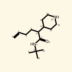 C=CCCC(C(=O)NC(C)(C)C)C1CCNCC1